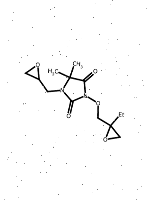 CCC1(CON2C(=O)N(CC3CO3)C(C)(C)C2=O)CO1